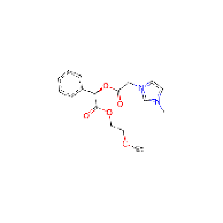 CCOCCOC(=O)[C@H](OC(=O)C[n+]1ccn(C)c1)c1ccccc1